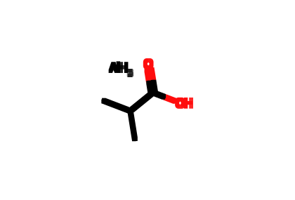 CC(C)C(=O)O.[AlH3]